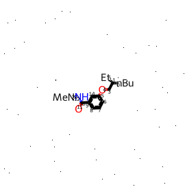 CCCCC(CC)COc1cccc(C(=O)NNC)c1